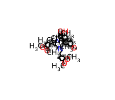 COc1ccc(CCN(C)CCCC(C#N)(c2ccc(OC)c(OC)c2)C(C)C)cc1OC.C[C@]12CC[C@H]3[C@@H](CCC4=CC(=O)CC[C@@]43C)[C@@H]1CC[C@@H]2O